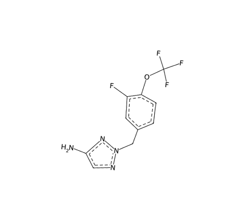 Nc1cnn(Cc2ccc(OC(F)(F)F)c(F)c2)n1